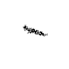 CN(Cc1cccc(-c2cnc(N3CCC(CCO)CC3)nc2)c1)C(=O)CNC(=O)OC(C)(C)C